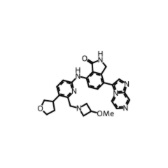 COC1CN(Cc2nc(Nc3ccc(-c4cnc5cnccn45)c4c3C(=O)NC4)ccc2C2CCOC2)C1